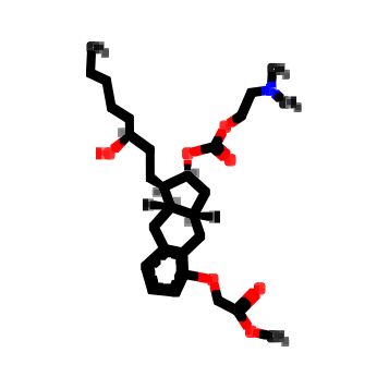 CCCCC[C@H](O)CC[C@@H]1[C@H]2Cc3cccc(OCC(=O)OC)c3C[C@H]2C[C@H]1OC(=O)OCCN(C)C